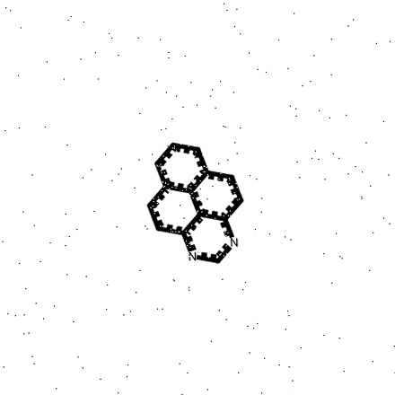 c1cc2ccc3ncnc4ccc(c1)c2c34